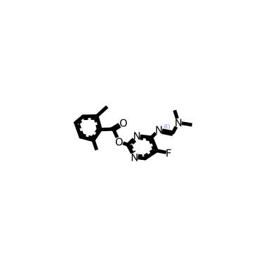 Cc1cccc(C)c1C(=O)Oc1ncc(F)c(/N=C/N(C)C)n1